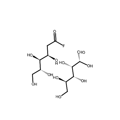 O=C(F)C[C@@H](O)[C@H](O)[C@H](O)CO.O=C[C@H](O)[C@@H](O)[C@H](O)[C@H](O)CO